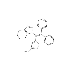 CCC1=CC[C]([Zr](=[C](c2ccccc2)c2ccccc2)[CH]2C=CC3=C2CCCC3)=C1